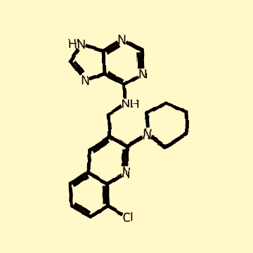 Clc1cccc2cc(CNc3ncnc4[nH]cnc34)c(N3CCCCC3)nc12